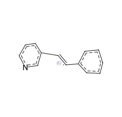 [C](=C\c1cccnc1)/c1ccccc1